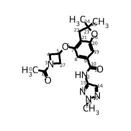 CC(=O)N1CC(Oc2cc(C(=O)Nc3cnn(C)n3)cc3c2CC(C)(C)O3)C1